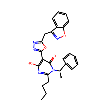 CCCCc1nc(O)c(-c2nnc(Cc3noc4ccccc34)o2)c(=O)n1[C@H](C)c1ccccc1